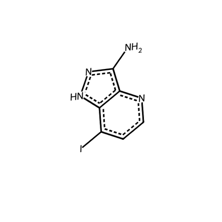 Nc1n[nH]c2c(I)ccnc12